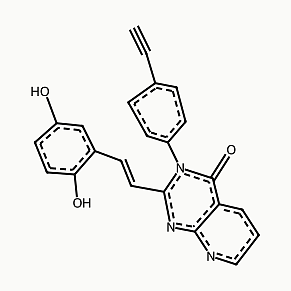 C#Cc1ccc(-n2c(C=Cc3cc(O)ccc3O)nc3ncccc3c2=O)cc1